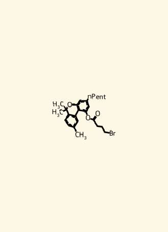 CCCCCc1cc(OC(=O)CCCBr)c2c(c1)OC(C)(C)c1ccc(C)cc1-2